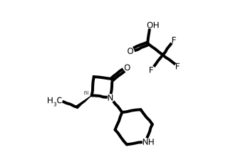 CC[C@H]1CC(=O)N1C1CCNCC1.O=C(O)C(F)(F)F